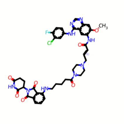 COc1cc2ncnc(Nc3ccc(F)c(Cl)c3)c2cc1NC(=O)/C=C/CN1CCN(C(=O)CCCCNc2cccc3c2C(=O)N(C2CCC(=O)NC2=O)C3=O)CC1